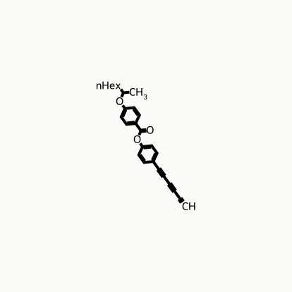 C#CC#CC#Cc1ccc(OC(=O)c2ccc(OC(C)CCCCCC)cc2)cc1